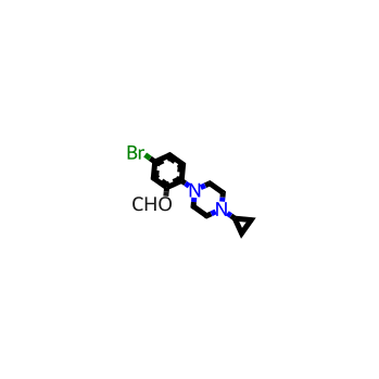 O=Cc1cc(Br)ccc1N1CCN(C2CC2)CC1